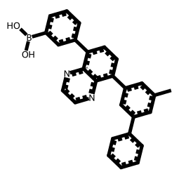 Cc1cc(-c2ccccc2)cc(-c2ccc(-c3cccc(B(O)O)c3)c3nccnc23)c1